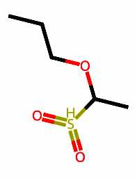 CCCOC(C)[SH](=O)=O